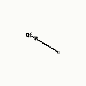 CCC=CCC=CCC=CCC=CCC=CCC=CCCC(=O)NCCNC(=O)c1ccccc1